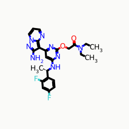 CCN(CC)C(=O)COc1nc(N[C@@H](C)c2ccc(F)cc2F)cc(-c2c(N)nn3cccnc23)n1